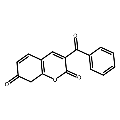 O=C1C=Cc2cc(C(=O)c3ccccc3)c(=O)oc2C1